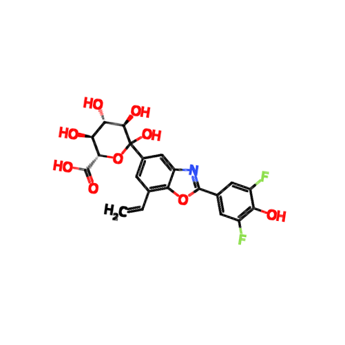 C=Cc1cc(C2(O)O[C@H](C(=O)O)[C@@H](O)[C@H](O)[C@H]2O)cc2nc(-c3cc(F)c(O)c(F)c3)oc12